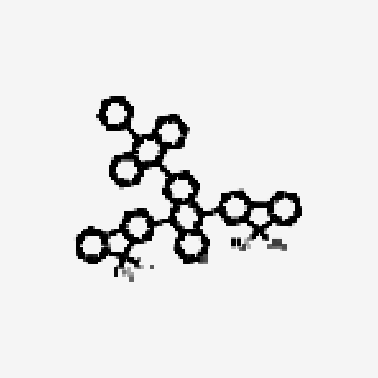 CC1(C)c2ccccc2-c2ccc(-c3c4ccc(-c5c6ccccc6c(-c6ccccc6)c6ccccc56)cc4c(-c4ccc5c(c4)C(C)(C)c4ccccc4-5)c4ccncc34)cc21